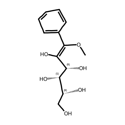 COC(=C(O)[C@H](O)[C@@H](O)[C@H](O)CO)c1ccccc1